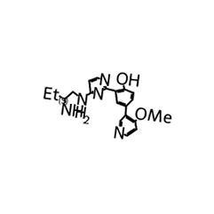 CC[C@H](N)CNc1ccnc(-c2cc(-c3cnccc3OC)ccc2O)n1